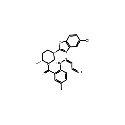 Cc1ccc(N/N=C\C=N)c(C(=O)N2C[C@H](c3nc4cc(Cl)ccc4o3)CC[C@H]2C)c1